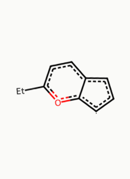 CCc1ccc2cc[c]c-2o1